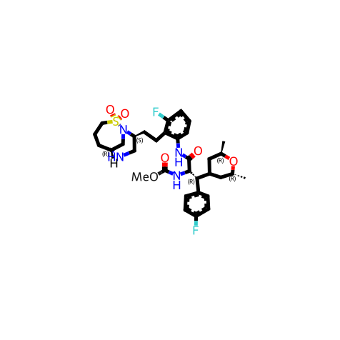 COC(=O)NC(C(=O)Nc1cccc(F)c1CC[C@H]1CN[C@@H]2CCCS(=O)(=O)N1C2)[C@@H](c1ccc(F)cc1)C1C[C@@H](C)O[C@H](C)C1